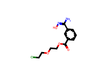 N/C(=N/O)c1cccc(C(=O)OCCOCCCl)c1